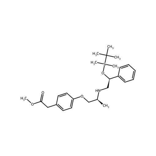 COC(=O)Cc1ccc(OC[C@H](C)NC[C@@H](O[Si](C)(C)C(C)(C)C)c2ccccc2)cc1